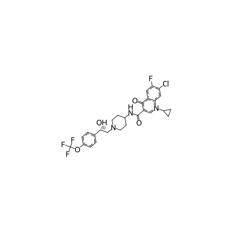 O=C(NC1CCN(C[C@@H](O)c2ccc(OC(F)(F)F)cc2)CC1)c1cn(C2CC2)c2cc(Cl)c(F)cc2c1=O